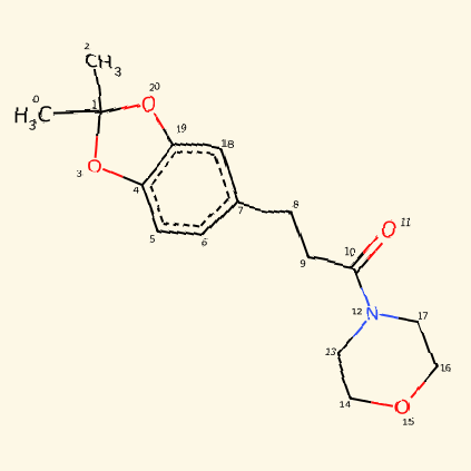 CC1(C)Oc2ccc(CCC(=O)N3CCOCC3)cc2O1